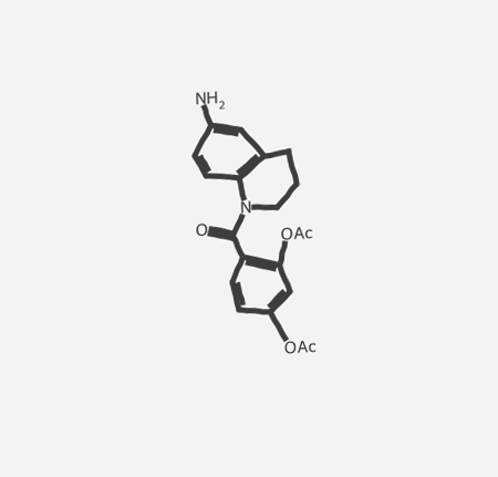 CC(=O)Oc1ccc(C(=O)N2CCCc3cc(N)ccc32)c(OC(C)=O)c1